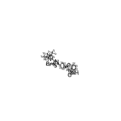 CC(C)(C)c1cc(-c2nc(C3CCN(C(=O)Cn4c(=O)[nH]c5ccccc54)CC3)sc2Br)nc(C(C)(C)C)n1